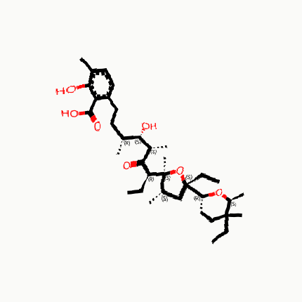 CC[C@@H](C(=O)[C@@H](C)[C@@H](O)[C@H](C)CCc1ccc(C)c(O)c1C(=O)O)[C@@]1(C)O[C@](CC)([C@H]2CCC(C)(CC)[C@H](C)O2)C[C@@H]1C